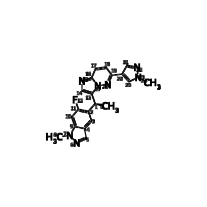 C[C@@H](c1cc2cnn(C)c2cc1F)c1cnc2ccc(-c3cnn(C)c3)nn12